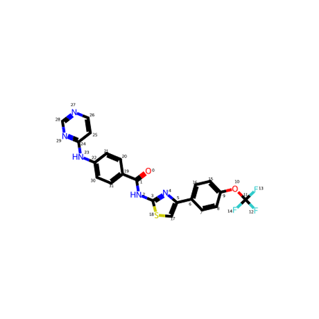 O=C(Nc1nc(-c2ccc(OC(F)(F)F)cc2)cs1)c1ccc(Nc2ccncn2)cc1